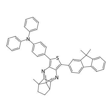 CC1(C)c2ccccc2-c2ccc(-c3sc(-c4ccc(N(c5ccccc5)c5ccccc5)cc4)c4nc5c(nc34)C3CCC5(C)C3(C)C)cc21